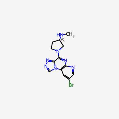 CN[C@@H]1CCN(c2nc3ncc(Br)cc3n3cnnc23)C1